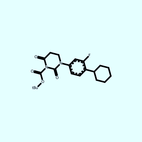 CC(C)(C)OC(=O)N1C(=O)CCN(c2ccc(C3CCCCC3)c(F)c2)C1=O